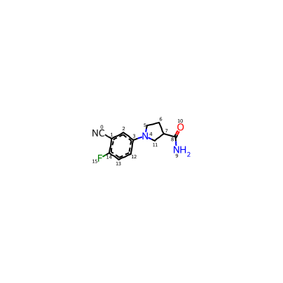 N#Cc1cc(N2CCC(C(N)=O)C2)ccc1F